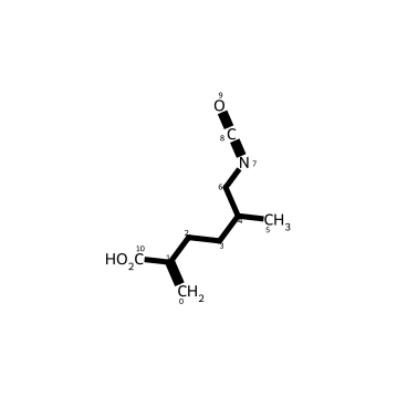 C=C(CCC(C)CN=C=O)C(=O)O